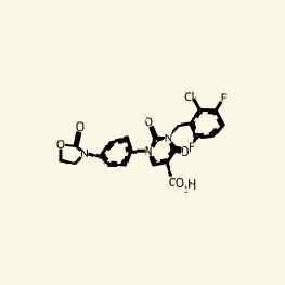 O=C(O)c1cn(-c2ccc(N3CCOC3=O)cc2)c(=O)n(Cc2c(F)ccc(F)c2Cl)c1=O